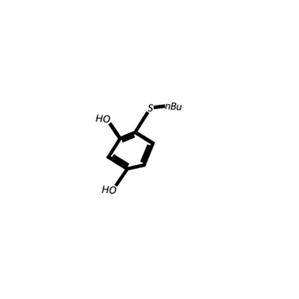 CCCCSc1ccc(O)cc1O